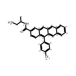 CC(CN)NC(=O)c1ccc2c(-c3ccc(C(F)(F)F)cc3)c3cc4ccccc4cc3cc2c1